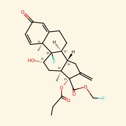 C=C1C[C@H]2[C@@H]3CCC4=CC(=O)C=C[C@]4(C)[C@@]3(F)[C@@H](O)C[C@]2(C)[C@]1(OC(=O)CC)C(=O)OCF